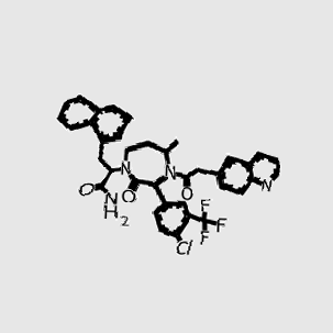 CC1CCN(C(Cc2cccc3ccccc23)C(N)=O)C(=O)C(c2ccc(Cl)c(C(F)(F)F)c2)N1C(=O)Cc1ccc2ncccc2c1